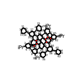 CC(C)c1ccc2c(c1)-c1cc(C(C)C)cc3c1B2c1cc2c(-c4c(-c5ccccc5)cc(-c5ccccc5)cc4-c4ccccc4)cc4c5c(cc6c(-c7c(-c8ccccc8)cc(-c8ccccc8)cc7-c7ccccc7)cc-3c1c6c25)B1c2ccc(C(C)C)cc2-c2cc(C(C)C)cc-4c21